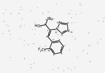 CC(C)(C)C(O)C(=Cc1ccccc1C(F)(F)F)n1cncn1